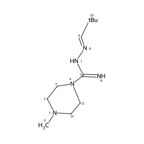 CN1CCN(C(=N)N/N=C/C(C)(C)C)CC1